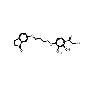 Cc1c(OCCCCOc2ccc3c(c2)C(=O)CC3)ccc(C(=O)CC(C)C)c1O